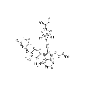 C=CC(=O)N1C[C@@H]2C(C#Cc3c(-c4ccc(Oc5cccc(C)n5)c(OC)c4)c4c(N)ncnc4n3CCCO)[C@@H]2C1